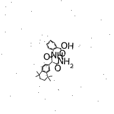 CC1(C)CCC(C)(C)c2cc(C(C(N)=O)C(=O)Nc3ccccc3C(=O)O)ccc21